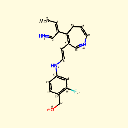 CN/C=C(\C=N)C1=C(/C=C/Nc2ccc(CO)c(F)c2)C=NC=CC1